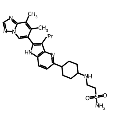 Cc1c(-c2[nH]c3ccc(C4CCC(NCCS(N)(=O)=O)CC4)nc3c2C(C)C)cn2ncnc2c1C